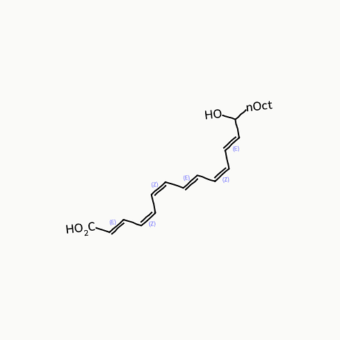 CCCCCCCCC(O)/C=C/C=C\C=C\C=C/C=C\C=C\C(=O)O